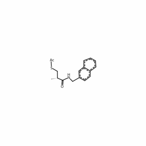 CC(=O)SC[C@@H](C)C(=O)NCc1ccc2ccccc2c1